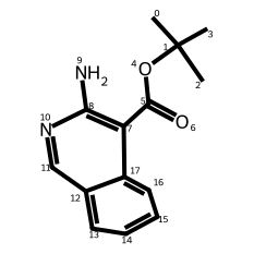 CC(C)(C)OC(=O)c1c(N)ncc2ccccc12